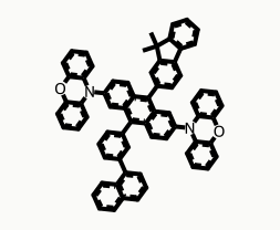 CC1(C)c2ccccc2-c2ccc(-c3c4ccc(N5c6ccccc6Oc6ccccc65)cc4c(-c4cccc(-c5cccc6ccccc56)c4)c4ccc(N5c6ccccc6Oc6ccccc65)cc34)cc21